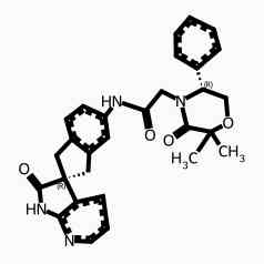 CC1(C)OC[C@@H](c2ccccc2)N(CC(=O)Nc2ccc3c(c2)C[C@@]2(C3)C(=O)Nc3ncccc32)C1=O